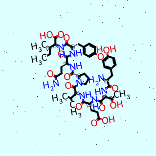 CC[C@H](C)[C@H](NC(=O)[C@H](Cc1ccc(O)cc1)NC(=O)[C@H](CCC(N)=O)NC(=O)[C@@H]1CCCN1C(=O)[C@H](NC(=O)[C@H](CCC(=O)O)NC(=O)[C@H](NC(=O)[C@H](N)Cc1ccc(O)cc1)[C@@H](C)O)C(C)C)C(=O)O